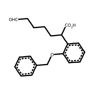 O=CCCCCC(C(=O)O)c1ccccc1OCc1ccccc1